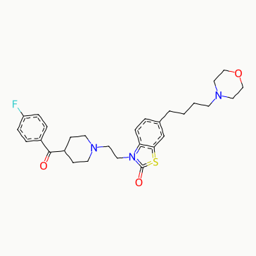 O=C(c1ccc(F)cc1)C1CCN(CCn2c(=O)sc3cc(CCCCN4CCOCC4)ccc32)CC1